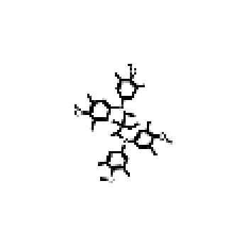 CCC(C)(C(C)P(c1cc(C)c(OC)c(C)c1)c1cc(C)c(OC)c(C)c1)C(C)P(c1cc(C)c(OC)c(C)c1)c1cc(C)c(OC)c(C)c1